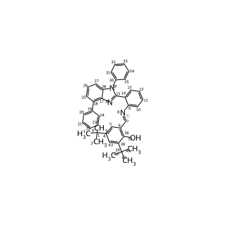 CC(C)(C)c1cc(/C=N/c2ccccc2-c2nc3c(-c4ccccc4)cccc3n2-c2ccccc2)c(O)c(C(C)(C)C)c1